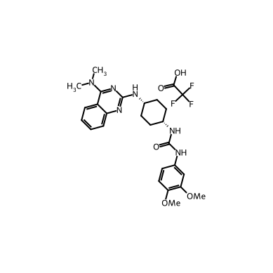 COc1ccc(NC(=O)N[C@H]2CC[C@@H](Nc3nc(N(C)C)c4ccccc4n3)CC2)cc1OC.O=C(O)C(F)(F)F